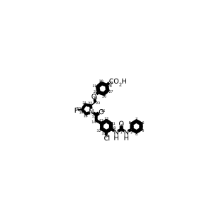 O=C(Nc1ccccc1)Nc1ccc(CC(=O)N2C[C@@H](F)C[C@H]2COc2ccc(C(=O)O)cc2)cc1Cl